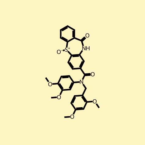 COc1ccc(CN(C(=O)c2ccc3c(c2)NC(=O)c2ccccc2[S+]3[O-])c2ccc(OC)c(OC)c2)c(OC)c1